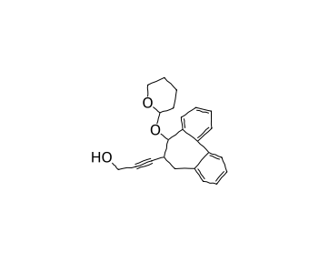 OCC#CC1Cc2ccccc2-c2ccccc2C1OC1CCCCO1